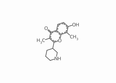 Cc1c(C2CCCNC2)oc2c(C)c(O)ccc2c1=O